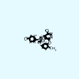 Cc1ccccc1Oc1nnc(Cl)cc1OS(=O)(=O)c1ccc(Cl)cc1